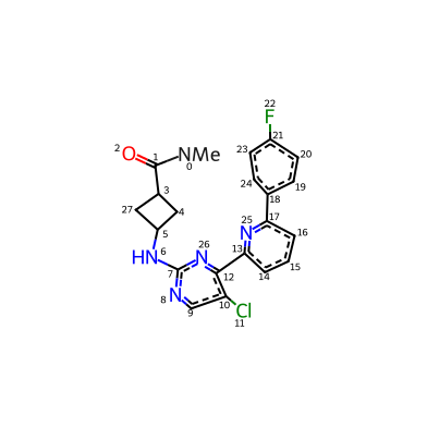 CNC(=O)C1CC(Nc2ncc(Cl)c(-c3cccc(-c4ccc(F)cc4)n3)n2)C1